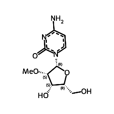 CO[C@H]1[C@@H](O)[C@@H](CO)O[C@H]1n1ccc(N)nc1=O